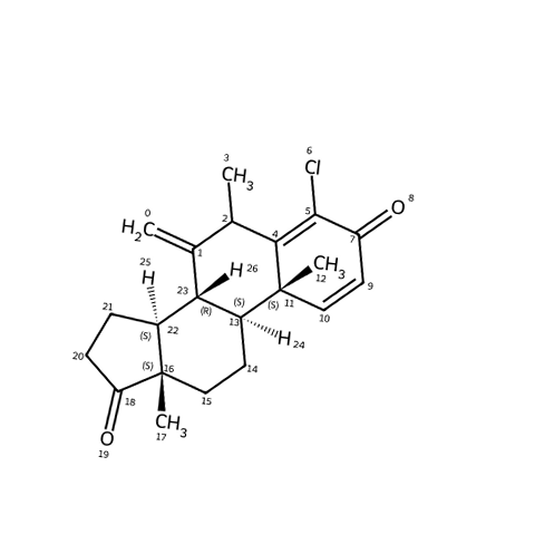 C=C1C(C)C2=C(Cl)C(=O)C=C[C@]2(C)[C@H]2CC[C@]3(C)C(=O)CC[C@H]3[C@H]12